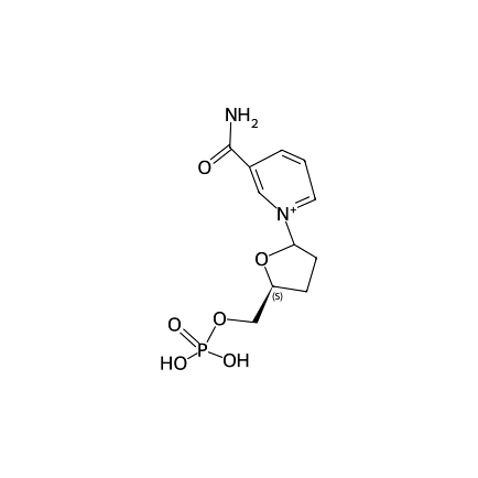 NC(=O)c1ccc[n+](C2CC[C@@H](COP(=O)(O)O)O2)c1